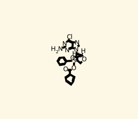 Nc1nc(Cl)c2ncn([C@@H]3O[C@]4(COC(=O)c5ccccc5)CO[C@@H]3[C@@H]4OCc3ccccc3)c2n1